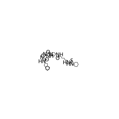 O=C(CCCCCNC(=S)NC1CCCCC1)NC1CCN(C(=O)Nc2nccnc2C(=O)NC2Cc3ccccc3C2)CC1